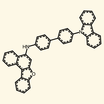 c1ccc2c(c1)oc1cc(Nc3ccc(-c4ccc(-n5c6ccccc6c6ccccc65)cc4)cc3)c3ccccc3c12